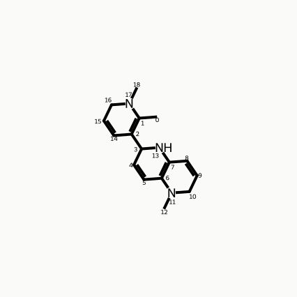 CC1=C(C2C=CC3=C(C=CCN3C)N2)C=CCN1C